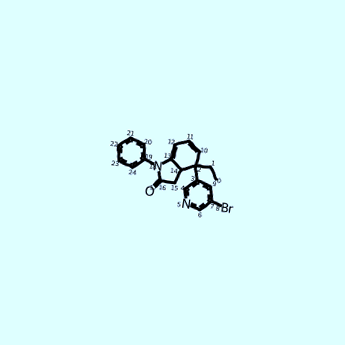 CCC1(c2cncc(Br)c2)C=CC=C2C1CC(=O)N2c1ccccc1